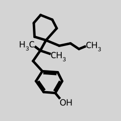 CCCCC1(C(C)(C)Cc2ccc(O)cc2)CCCCC1